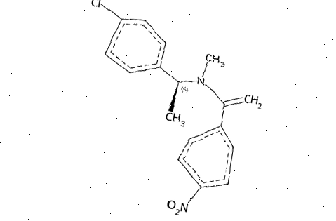 C=C(c1ccc([N+](=O)[O-])cc1)N(C)[C@@H](C)c1ccc(Cl)cc1